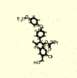 Cc1nc2cc(CO)c(Cl)cc2c(OC(=O)C(C)C)c1-c1ccc(Oc2ccc(OC(F)(F)F)cc2)cc1